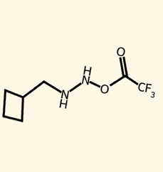 O=C(ONNCC1CCC1)C(F)(F)F